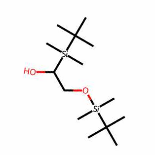 CC(C)(C)[Si](C)(C)OCC(O)[Si](C)(C)C(C)(C)C